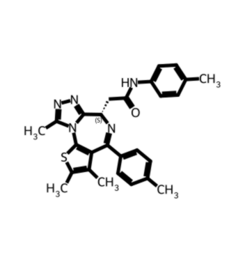 Cc1ccc(NC(=O)C[C@@H]2N=C(c3ccc(C)cc3)c3c(sc(C)c3C)-n3c(C)nnc32)cc1